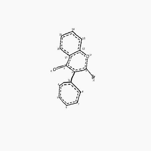 O=c1c(-c2ccccc2)c(Br)oc2ccccc12